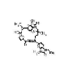 CC1C(CO)C1c1ccc2c(n1)n(C)c(=O)n2CC(C)(C)CCC1C(CNC(=O)c2ccon2)C1c1ccc2c(n1)n(C)c(=O)n2CC(C)(C)C